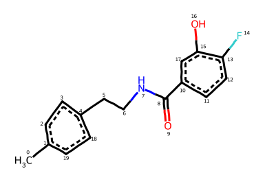 Cc1ccc(CCNC(=O)c2ccc(F)c(O)c2)cc1